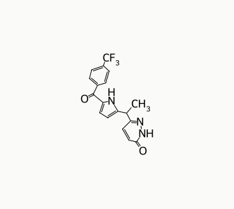 CC(c1ccc(=O)[nH]n1)c1ccc(C(=O)c2ccc(C(F)(F)F)cc2)[nH]1